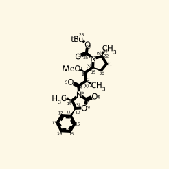 CO[C@H]([C@@H](C)C(=O)N1C(=O)O[C@@H](c2ccccc2)[C@H]1C)[C@@H]1CC[C@H](C)N1C(=O)OC(C)(C)C